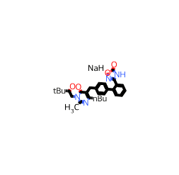 CCCCc1nc(C)n(CC(=O)C(C)(C)C)c(=O)c1Cc1ccc(-c2ccccc2-c2noc(=O)[nH]2)cc1.[NaH]